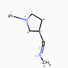 C/N=C/C1CCN(C(C)C)C1